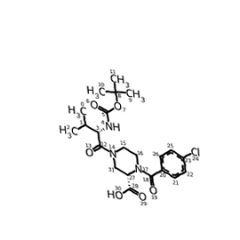 CC(C)[C@H](NC(=O)OC(C)(C)C)C(=O)N1CCN(C(=O)c2ccc(Cl)cc2)[C@H](C(=O)O)C1